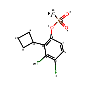 O=S(=O)(Oc1ccc(F)c(F)c1C1CCC1)C(F)(F)F